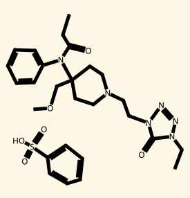 CCC(=O)N(c1ccccc1)C1(COC)CCN(CCn2nnn(CC)c2=O)CC1.O=S(=O)(O)c1ccccc1